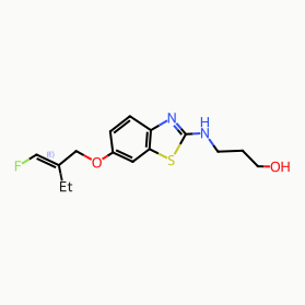 CC/C(=C\F)COc1ccc2nc(NCCCO)sc2c1